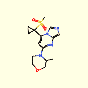 CC1COCCN1c1cc(C2(S(C)(=O)=O)CC2)n2cncc2n1